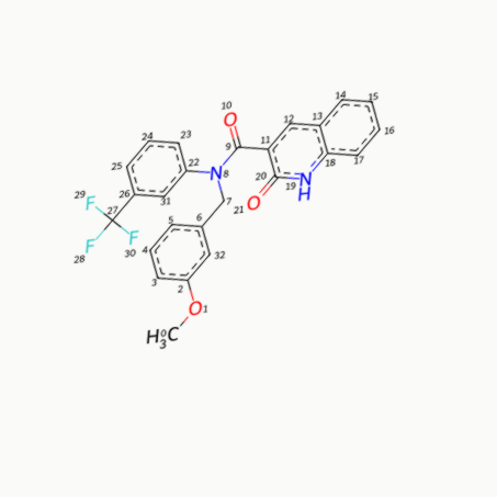 COc1cccc(CN(C(=O)c2cc3ccccc3[nH]c2=O)c2cccc(C(F)(F)F)c2)c1